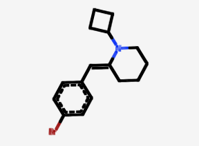 Brc1ccc(C=C2CCCCN2C2CCC2)cc1